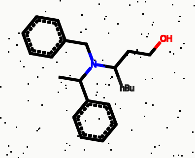 CCCCC(CCO)N(Cc1ccccc1)C(C)c1ccccc1